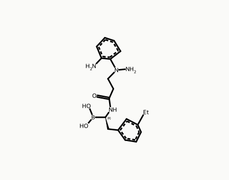 CCc1cccc(C[C@H](NC(=O)CCN(N)c2ccccc2N)B(O)O)c1